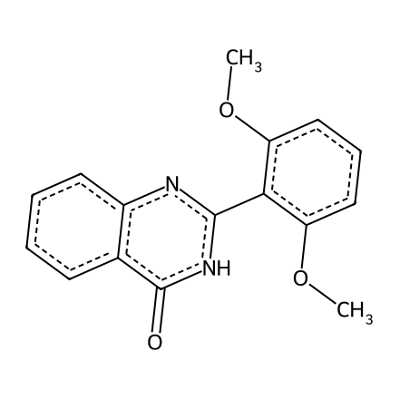 COc1cccc(OC)c1-c1nc2ccccc2c(=O)[nH]1